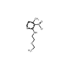 CCOCCNc1nccc(C)c1[N+](=O)[O-]